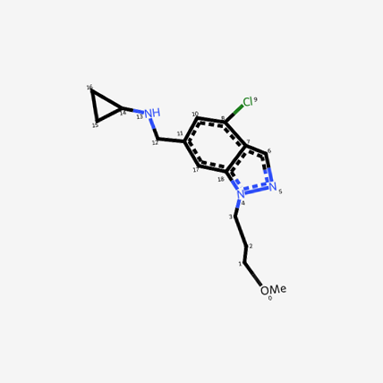 COCCCn1ncc2c(Cl)cc(CNC3CC3)cc21